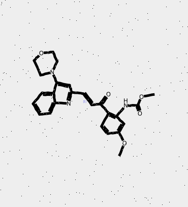 COC(=O)Nc1cc(OC)ccc1C(=O)/C=C/c1cc(N2CCOCC2)c2ccccc2n1